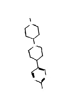 CC(C)c1ncc(C2CCN(C3CCN(C(C)C)CC3)CC2)cn1